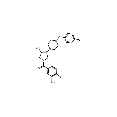 Cc1cc(C(=O)N2CC(O)[C@@H](N3CCN(Cc4ccc(Cl)cc4)CC3)C2)ccc1F